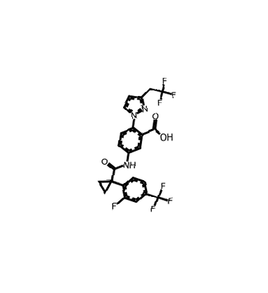 O=C(O)c1cc(NC(=O)C2(c3ccc(C(F)(F)F)cc3F)CC2)ccc1-n1ccc(CC(F)(F)F)n1